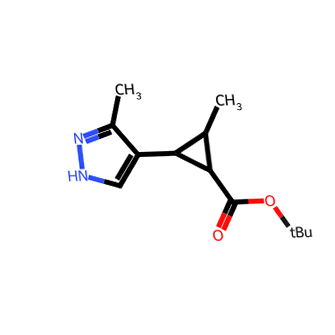 Cc1n[nH]cc1C1C(C)C1C(=O)OC(C)(C)C